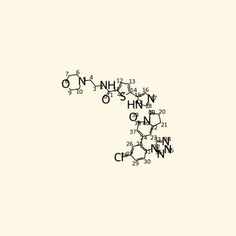 O=C(NCCN1CCOCC1)c1ccc(-c2cnc([C@@H]3CCc4cc(-c5cc(Cl)ccc5-n5cnnn5)cc(=O)n43)[nH]2)s1